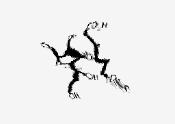 CCCCCCCCCCCCCCCC(=O)O.O=C1O[C@H]([C@@H](O)CO)C(O)=C1O